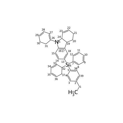 CCc1ccc([Si](c2ccccc2)(c2ccc3c(c2)C2CCC=CC2N3C2=CC=CCC2)C2C=CC=CC2)cc1